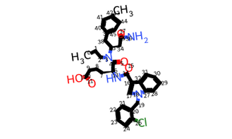 CCCN(C(=O)[C@H](CCCC(=O)O)NC(=O)c1cn(Cc2ccccc2Cl)c2ccccc12)[C@H](CC(N)=O)Cc1ccc(C)cc1